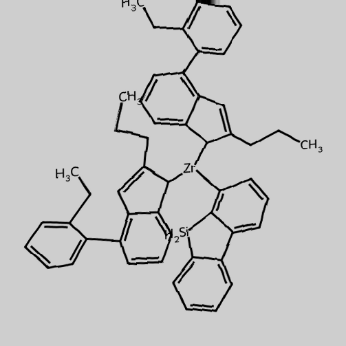 CCCC1=Cc2c(-c3ccccc3CC)cccc2[CH]1[Zr]([c]1cccc2c1[SiH2]c1ccccc1-2)[CH]1C(CCC)=Cc2c(-c3ccccc3CC)cccc21